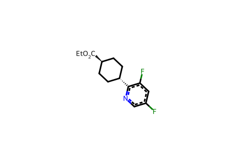 CCOC(=O)[C@H]1CC[C@H](c2ncc(F)cc2F)CC1